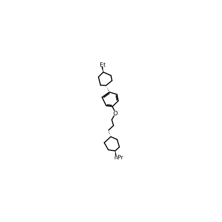 CCC[C@H]1CC[C@H](CCCOc2ccc([C@H]3CC[C@H](CC)CC3)cc2)CC1